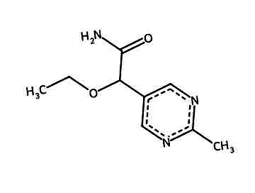 CCOC(C(N)=O)c1cnc(C)nc1